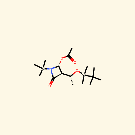 CC(=O)O[C@@H]1[C@@H]([C@@H](C)O[Si](C)(C)C(C)(C)C)C(=O)N1[Si](C)(C)C